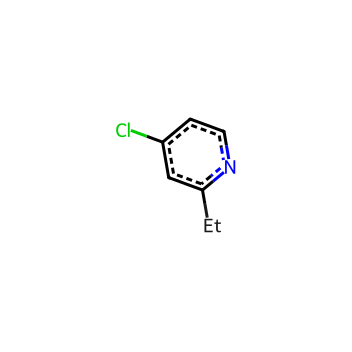 CCc1cc(Cl)ccn1